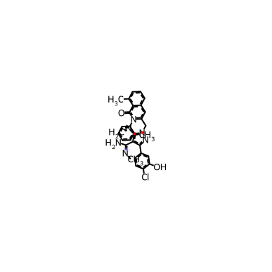 C=Nc1c(/C(N)=N\C)c(-c2ccc(Cl)c(O)c2)nn1Cc1cc2cccc(C)c2c(=O)n1-c1ccccc1C